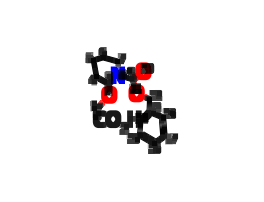 O=C(O)COC1CCCCN1C(=O)OCc1ccccc1